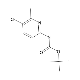 Cc1nc(NC(=O)OC(C)(C)C)ccc1Cl